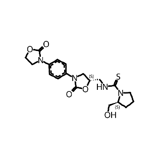 O=C1OCCN1c1ccc(N2C[C@H](CNC(=S)N3CCC[C@H]3CO)OC2=O)cc1